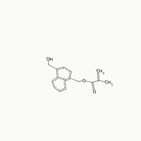 C=C(C)C(=O)OCc1ccc(CO)c2ccccc12